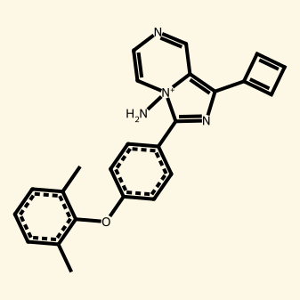 Cc1cccc(C)c1Oc1ccc(C2=NC(C3=CC=C3)=C3C=NC=C[N+]23N)cc1